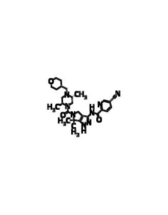 C[C@@H]1CN(C(=O)N2Cc3c(NC(=O)c4ccc(C#N)cn4)n[nH]c3C2(C)C)[C@@H](C)CN1CC1CCOCC1